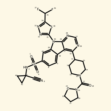 N#CC1(NS(=O)(=O)c2ccc3c4c(C5CCN(C(=O)N6CCCO6)CC5)ncnc4n(-c4nnc(C(F)F)s4)c3c2)CC1